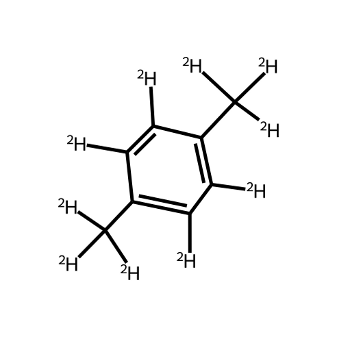 [2H]c1c([2H])c(C([2H])([2H])[2H])c([2H])c([2H])c1C([2H])([2H])[2H]